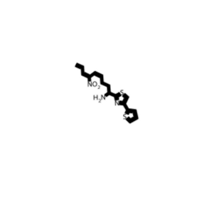 C=C/C=C(\C=C/CCC(N)c1nc(-c2cccs2)cs1)[N+](=O)[O-]